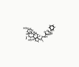 CC[C@H]1[C@@H](O)C2[C@@H]3CC[C@H]([C@H](C)CNC(=O)NS(=O)(=O)c4ccccc4)[C@@]3(C)CC[C@@H]2[C@@]2(C)CC[C@@H](O)C[C@@H]12